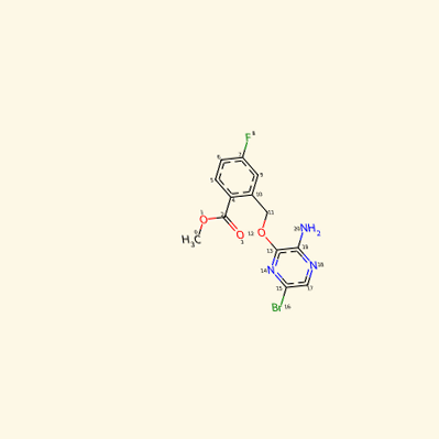 COC(=O)c1ccc(F)cc1COc1nc(Br)cnc1N